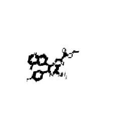 CCOC(=O)c1cn2c(-c3ccc4nccc(C)c4c3)c(-c3ccc(F)cc3)nc(N)c2n1